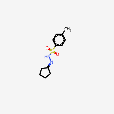 Cc1ccc(S(=O)(=O)NN=C2CCCC2)cc1